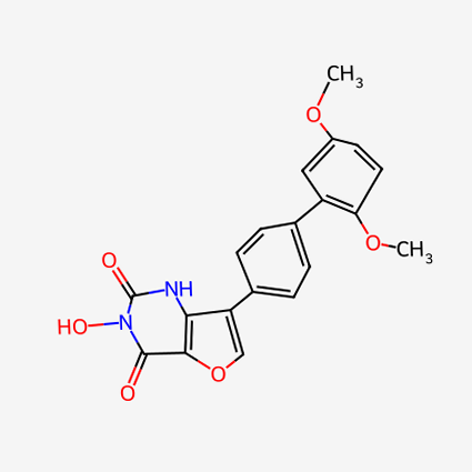 COc1ccc(OC)c(-c2ccc(-c3coc4c(=O)n(O)c(=O)[nH]c34)cc2)c1